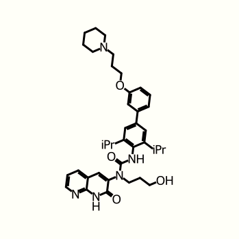 CC(C)c1cc(-c2cccc(OCCCN3CCCCC3)c2)cc(C(C)C)c1NC(=O)N(CCCO)c1cc2cccnc2[nH]c1=O